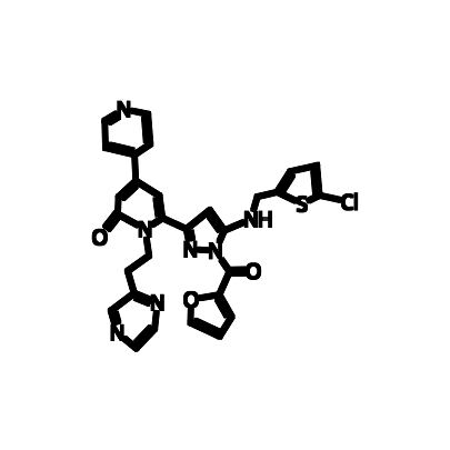 O=C(c1ccco1)n1nc(-c2cc(-c3ccncc3)cc(=O)n2CCc2cnccn2)cc1NCc1ccc(Cl)s1